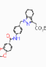 CCOC(=O)Cc1nn(Cc2ccc(NC(=O)c3ccc4c(c3)OCCO4)cc2)c2ccccc12